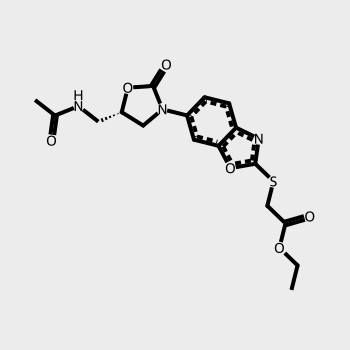 CCOC(=O)CSc1nc2ccc(N3C[C@H](CNC(C)=O)OC3=O)cc2o1